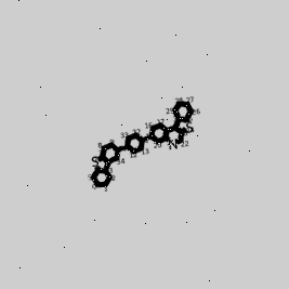 c1ccc2c(c1)sc1ccc(-c3ccc(-c4ccc5c(c4)ncc4sc6ccccc6c45)cc3)cc12